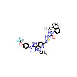 CC(C)c1ccccc1NC(=O)NS/N=C/c1ccc2c(C(=N)Nc3ccc(OC(F)(F)F)cc3)nn(C)c2n1